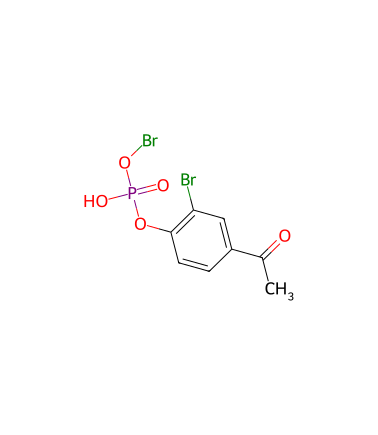 CC(=O)c1ccc(OP(=O)(O)OBr)c(Br)c1